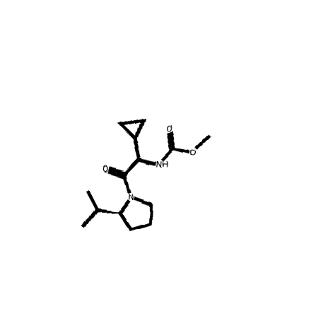 COC(=O)NC(C(=O)N1CCC[C@H]1C(C)C)C1CC1